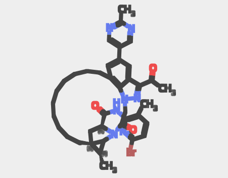 CC(=O)c1nn2c3c(cc(-c4cnc(C)nc4)cc13)CCCCCCCCCC[C@@]13C[C@@H](C(=O)Nc4nc(Br)ccc4C)N(C(=O)C2)C1[C@@H]3C